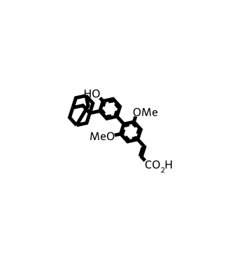 COc1cc(C=CC(=O)O)cc(OC)c1-c1ccc(O)c(C23CC4CC(CC(C4)C2)C3)c1